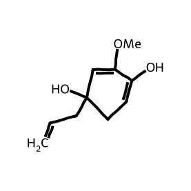 C=CCC1(O)C=C(OC)C(O)=CC1